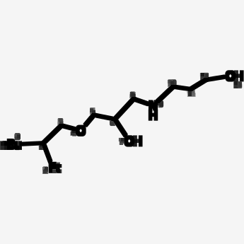 CCCCC(CC)COCC(O)CNCCCO